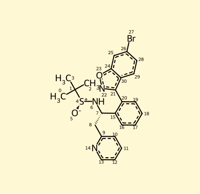 CC(C)(C)[S@+]([O-])N[C@@H](Cc1ccccn1)c1ccccc1-c1noc2cc(Br)ccc12